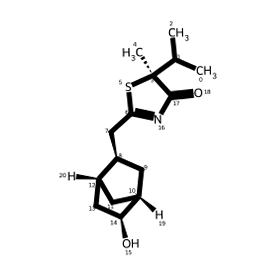 CC(C)[C@]1(C)SC(C[C@H]2C[C@H]3C[C@@H]2C[C@@H]3O)=NC1=O